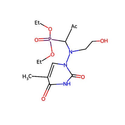 CCOP(=O)(OCC)C(C(C)=O)N(CCO)n1cc(C)c(=O)[nH]c1=O